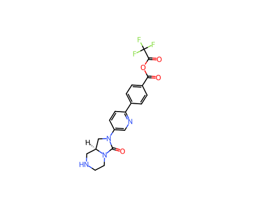 O=C(OC(=O)C(F)(F)F)c1ccc(-c2ccc(N3C[C@@H]4CNCCN4C3=O)cn2)cc1